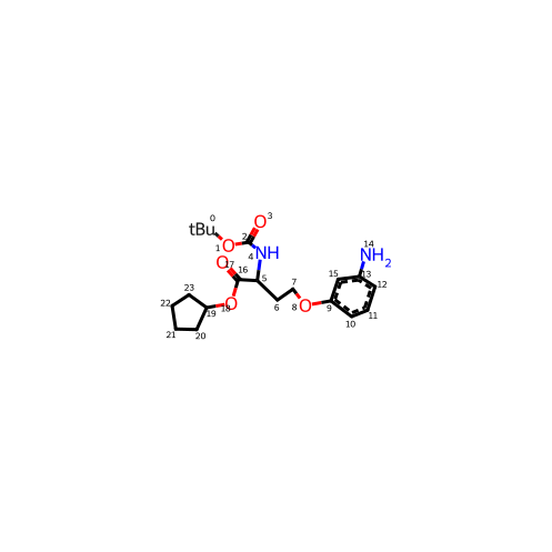 CC(C)(C)OC(=O)NC(CCOc1cccc(N)c1)C(=O)OC1CCCC1